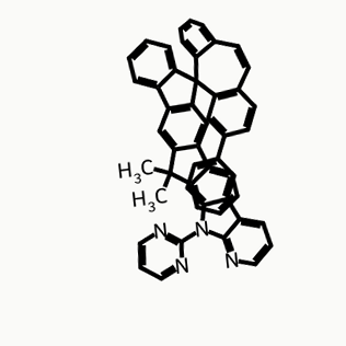 CC1(C)c2ccccc2-c2cc3c(cc21)-c1ccccc1C31c2ccccc2C=Cc2ccc(-c3ccc4c(c3)c3cccnc3n4-c3ncccn3)cc21